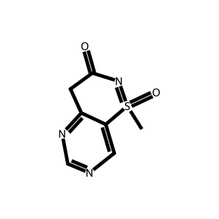 CS1(=O)=NC(=O)Cc2ncncc21